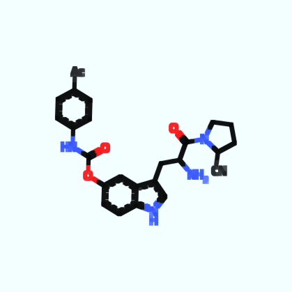 CC(=O)c1ccc(NC(=O)Oc2ccc3[nH]cc(CC(N)C(=O)N4CCCC4C#N)c3c2)cc1